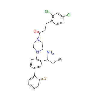 CC(C)CC(N)c1cc(C2=CC=CCC2=S)ccc1N1CCN(C(=O)CCc2ccc(Cl)cc2Cl)CC1